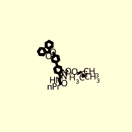 CCCC(=O)Nc1nn(OCOCC[Si](C)(C)C)c2cc(-c3ccc4c(c3)OC(c3ccccc3)(c3ccccc3)O4)ccc12